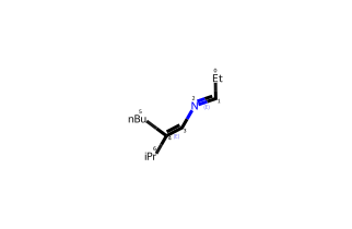 CC/C=N/C=C(\CCCC)C(C)C